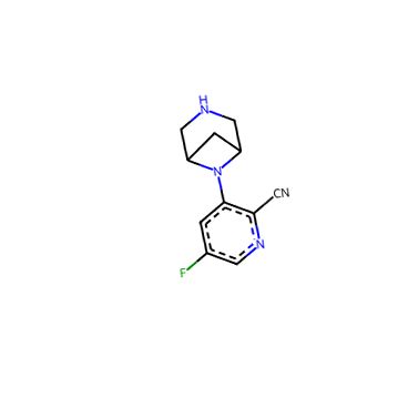 N#Cc1ncc(F)cc1N1C2CNCC1C2